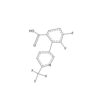 O=C(O)c1ccc(F)c(F)c1-c1ccc(C(F)(F)F)nc1